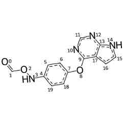 O=CONc1ccc(Oc2ncnc3[nH]ccc23)cc1